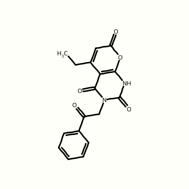 CCc1cc(=O)oc2[nH]c(=O)n(CC(=O)c3ccccc3)c(=O)c12